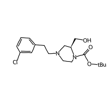 CC(C)(C)OC(=O)N1CCN(CCc2cccc(Cl)c2)C[C@H]1CO